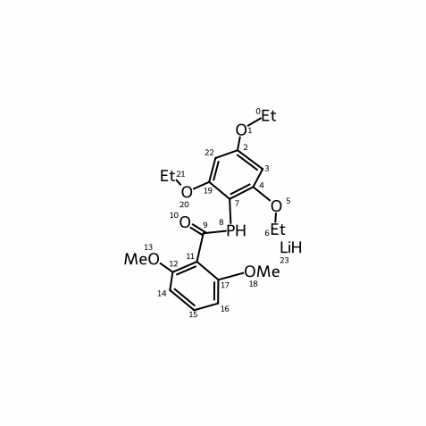 CCOc1cc(OCC)c(PC(=O)c2c(OC)cccc2OC)c(OCC)c1.[LiH]